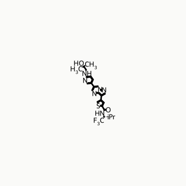 CC(C)[C@@H](NC(=O)c1cc(-c2cnn3cc(-c4ccc(NCC(C)(C)O)nc4)cnc23)cs1)C(F)(F)F